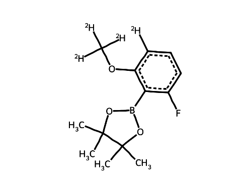 [2H]c1ccc(F)c(B2OC(C)(C)C(C)(C)O2)c1OC([2H])([2H])[2H]